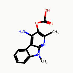 Cc1nc2c(c(N)c1OC(=O)O)c1ccccc1n2C